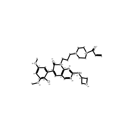 C=CC(=O)N1CCN(CCCn2c(=O)c(-c3cc(OC)cc(OC)c3Cl)cc3cnc(NC4COC4)nc32)CC1